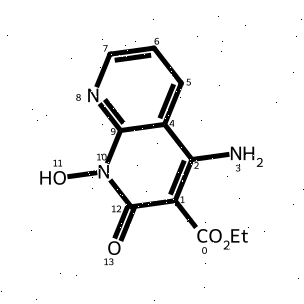 CCOC(=O)c1c(N)c2cccnc2n(O)c1=O